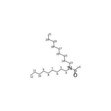 [CH2]C(=O)N(CCCCCCCCC)CCCCCCCCC